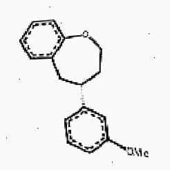 COc1cccc([C@H]2CCOc3ccccc3C2)c1